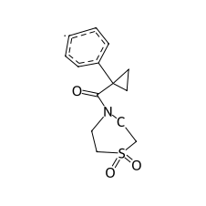 O=C(N1CCS(=O)(=O)CC1)C1(c2cc[c]cc2)CC1